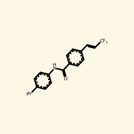 CC(C)c1ccc(NC(=O)c2ccc(/C=C/C(F)(F)F)cc2)cc1